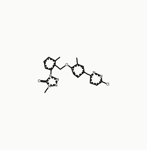 Cc1cc(-c2ccc(Cl)nn2)ccc1OCc1c(C)cccc1-n1nnn(C)c1=O